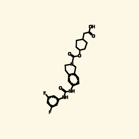 O=C(O)CC1CCC(OC(=O)N2CCc3cc(NC(=O)Nc4cc(F)cc(F)c4)ccc3C2)CC1